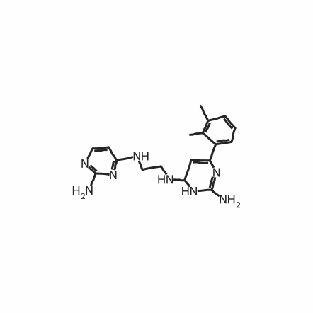 Cc1cccc(C2=CC(NCCNc3ccnc(N)n3)NC(N)=N2)c1C